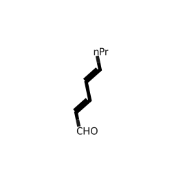 CCC/C=C/C=C/C=O